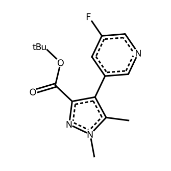 Cc1c(-c2cncc(F)c2)c(C(=O)OC(C)(C)C)nn1C